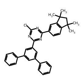 CC1(C)CC(C)(C)c2cc(-c3nc(Cl)nc(-c4cc(-c5ccccc5)cc(-c5ccccc5)c4)n3)ccc21